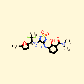 Cc1ccc([C@H](NC2=NS(=O)(=O)N=C2Nc2cccc(C(=O)N(C)C)c2O)C(C)(F)F)o1